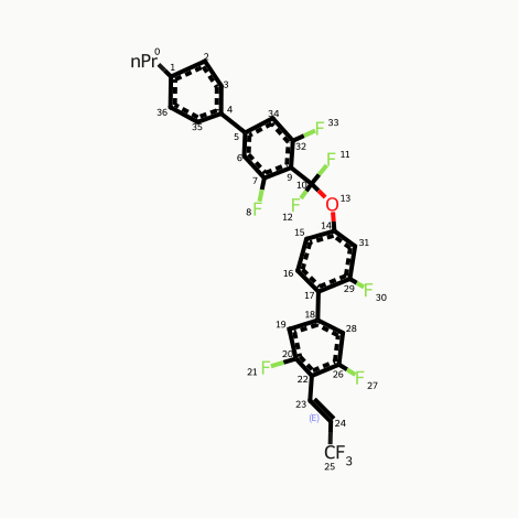 CCCc1ccc(-c2cc(F)c(C(F)(F)Oc3ccc(-c4cc(F)c(/C=C/C(F)(F)F)c(F)c4)c(F)c3)c(F)c2)cc1